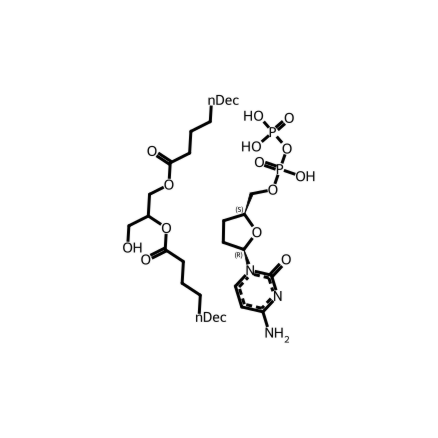 CCCCCCCCCCCCCC(=O)OCC(CO)OC(=O)CCCCCCCCCCCCC.Nc1ccn([C@H]2CC[C@@H](COP(=O)(O)OP(=O)(O)O)O2)c(=O)n1